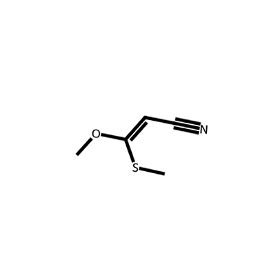 COC(=CC#N)SC